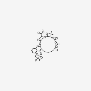 COC(=O)[C@@H]1C[C@@H]2CN1C(=O)[C@H](C(C)(C)C)NC(=O)O[C@@H]1C[C@H]1CCCCCc1c(nc3ccccc3c1OS(=O)(=O)C(F)(F)F)O2